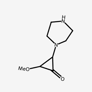 COC1C(=O)C1N1CCNCC1